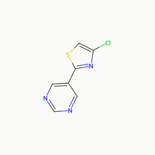 Clc1csc(-c2cncnc2)n1